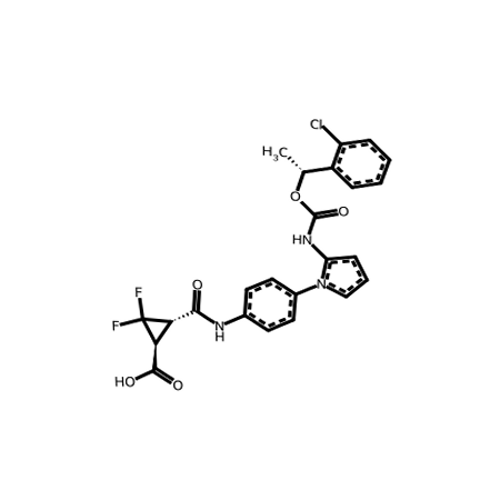 C[C@@H](OC(=O)Nc1cccn1-c1ccc(NC(=O)[C@@H]2[C@@H](C(=O)O)C2(F)F)cc1)c1ccccc1Cl